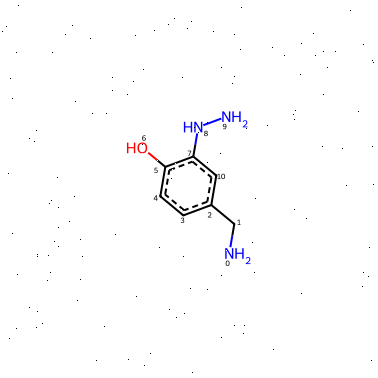 NCc1ccc(O)c(NN)c1